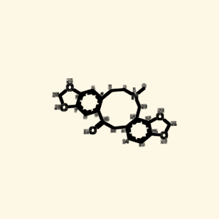 CN1CCc2cc3c(cc2C(=O)Cc2ccc4c(c2C1)OCO4)OCO3